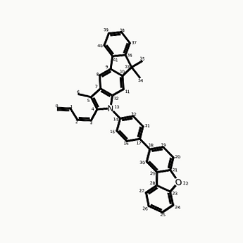 C=C/C=C\c1c(C)c2cc3c(cc2n1-c1ccc(-c2ccc4oc5ccccc5c4c2)cc1)C(C)(C)c1ccccc1-3